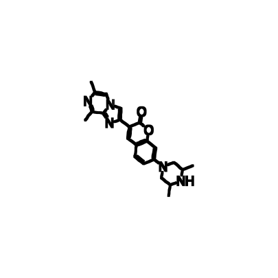 Cc1cn2cc(-c3cc4ccc(N5CC(C)NC(C)C5)cc4oc3=O)nc2c(C)n1